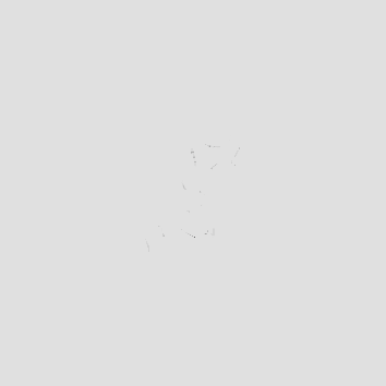 Cc1coc(C2CNCC3(C4CCC4)N(Cc4cccc5oc(C)nc45)C(=O)CN23)n1